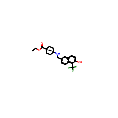 CCOC(=O)C12CCC(NCc3ccc4c(C(F)(F)F)c(O)ccc4c3)(CC1)CC2